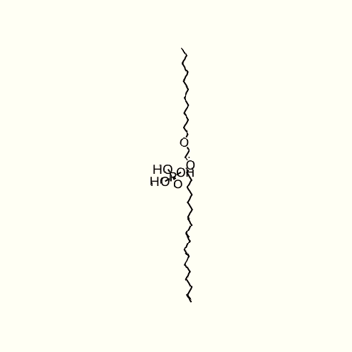 CCCCCCCCCCCCCCCCCCO[CH]COCCCCCCCCCCCC.O=P(O)(O)O